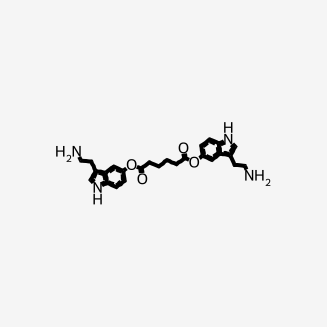 NCCc1c[nH]c2ccc(OC(=O)CCCCC(=O)Oc3ccc4[nH]cc(CCN)c4c3)cc12